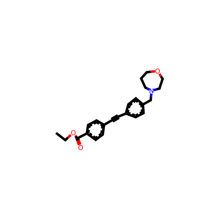 CCOC(=O)c1ccc(C#Cc2ccc(CN3CCCOCC3)cc2)cc1